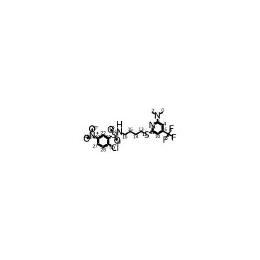 CN(C)c1cc(C(F)(F)F)cc(SCCCCNS(=O)(=O)c2cc([N+](=O)[O-])ccc2Cl)n1